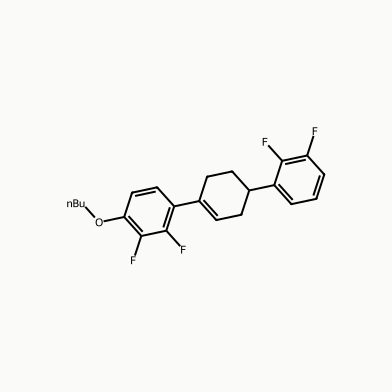 CCCCOc1ccc(C2=CCC(c3cccc(F)c3F)CC2)c(F)c1F